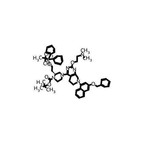 CN(C)CCOc1nc2c(c(N3CCN(C(=O)OC(C)(C)C)[C@@H](CCO[Si](c4ccccc4)(c4ccccc4)C(C)(C)C)C3)n1)CCN(c1cc(OCc3ccccc3)cc3ccccc13)C2